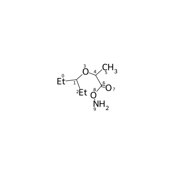 CCC(CC)OC(C)C(=O)ON